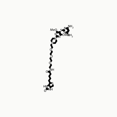 COc1nc(N2CCN(CCOCCOCCOCCNC(=O)CCCCC3SCC4NC(=O)NC43)CC2)nc(OC)c1Sc1nc(N)cc(N)n1